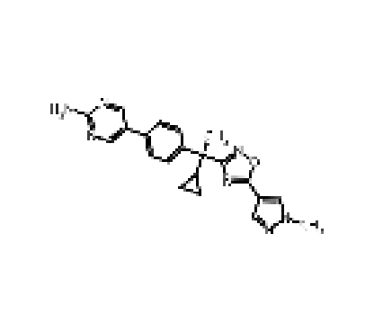 Cn1cc(-c2nc([C@@](C)(c3ccc(-c4cnc(N)nc4)cc3)C3CC3)no2)cn1